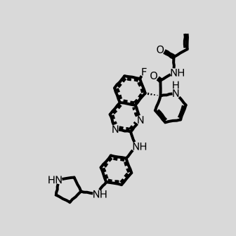 C=CC(=O)NC(=O)[C@]1(c2c(F)ccc3cnc(Nc4ccc(NC5CCNC5)cc4)nc23)C=CC=CN1